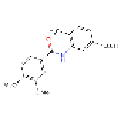 COc1ccc(C(=O)Nc2cc(C(=O)O)ccc2C)cc1OC